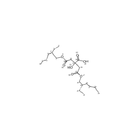 CCCCC(CC)COC(=O)CC(O)(CC(=O)OCC(CC)CCCC)C(=O)O